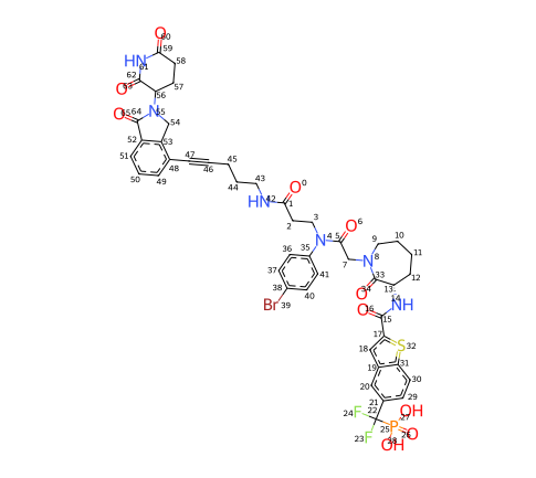 O=C(CCN(C(=O)CN1CCCC[C@H](NC(=O)c2cc3cc(C(F)(F)P(=O)(O)O)ccc3s2)C1=O)c1ccc(Br)cc1)NCCCC#Cc1cccc2c1CN(C1CCC(=O)NC1=O)C2=O